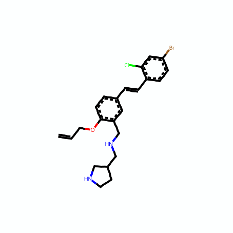 C=CCOc1ccc(/C=C/c2ccc(Br)cc2Cl)cc1CNCC1CCNC1